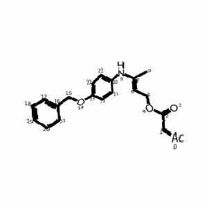 CC(=O)CC(=O)OCC=C(C)Nc1ccc(OCc2ccccc2)cc1